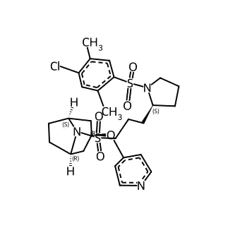 Cc1cc(S(=O)(=O)N2CCC[C@H]2CCCS(=O)(=O)N2[C@@H]3CC[C@H]2C[C@@H](Oc2ccncc2)C3)c(C)cc1Cl